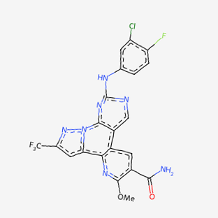 COc1nc2c(cc1C(N)=O)c1cnc(Nc3ccc(F)c(Cl)c3)nc1n1nc(C(F)(F)F)cc21